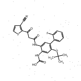 CC(C)(C)Oc1cc(NC(=O)O)c(NC(=O)CC(=O)c2sccc2C#N)cc1-c1ccccc1F